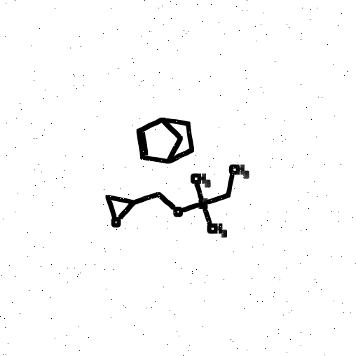 C1=CC2CCC1C2.CC[Si](C)(C)OCC1CO1